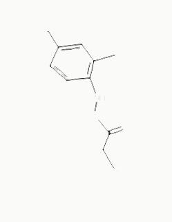 CC(=O)CC(=O)ONc1ccc(Cl)cc1C